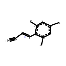 Cc1cc(C)c(/C=C/C#N)c(C)c1